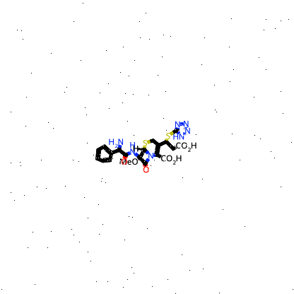 COC1(NC(=O)C(N)c2ccccc2)C(=O)N2C(C(=O)O)=C(C(CC(=O)O)Sc3nnn[nH]3)CS[C@H]21